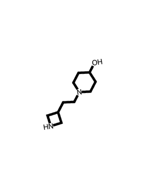 OC1CCN(CCC2CNC2)CC1